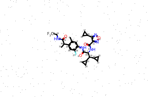 Cc1cc(NC(=O)[C@@H](NC(=O)c2nonc2C2CC2)C(C2CC2)C2CC2)c(F)cc1C(C)C(=O)NCC(F)(F)F